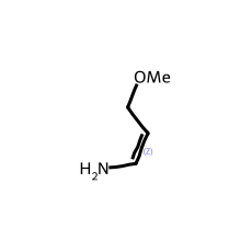 COC/C=C\N